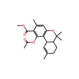 COC(=O)c1c(C)cc2c(c1OC(C)=O)C1C=C(C)CCC1C(C)(C)O2